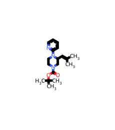 CC(C)=CC1CN(C(=O)OC(C)(C)C)CCN1c1ccccn1